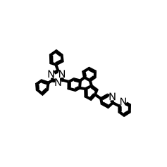 c1ccc(-c2nc(-c3ccccc3)nc(-c3ccc4c5ccc(-c6ccc(-c7ccccn7)nc6)cc5c5ccccc5c4c3)n2)cc1